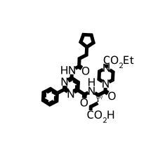 CCOC(=O)N1CCN(C(=O)[C@H](CCC(=O)O)NC(=O)c2cc(NC(=O)CCC3CCCC3)nc(-c3ccccc3)n2)CC1